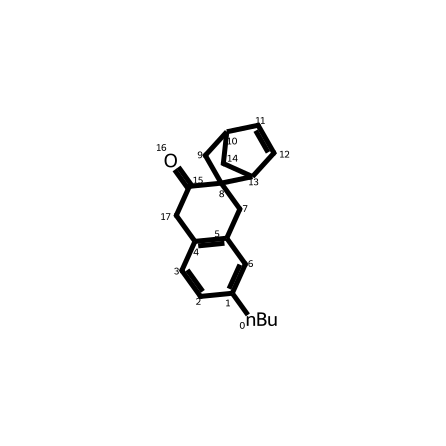 CCCCc1ccc2c(c1)CC1(CC3C=CC1C3)C(=O)C2